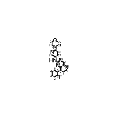 Fc1ccccc1-c1ccnc2cnc(Nc3ccc(N4CCOCC4)nc3)nc12